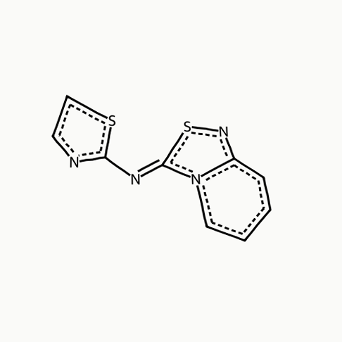 c1ccn2c(=Nc3nccs3)snc2c1